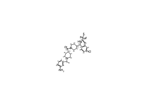 CC(c1ccnc(N)c1)N1CCC(C(=O)N2CCC(C(NC(=O)C(F)(F)F)c3ccc(Cl)cc3)CC2)CC1